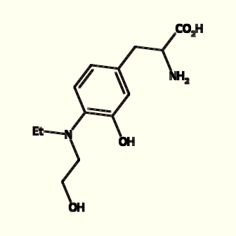 CCN(CCO)c1ccc(CC(N)C(=O)O)cc1O